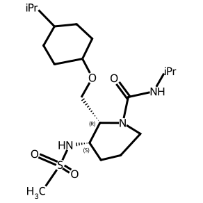 CC(C)NC(=O)N1CCC[C@H](NS(C)(=O)=O)[C@@H]1COC1CCC(C(C)C)CC1